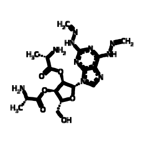 C=NNc1nc(NN=C)c2ncn([C@@H]3O[C@H](CO)[C@@H](OC(=O)[C@H](C)N)[C@H]3OC(=O)[C@H](C)N)c2n1